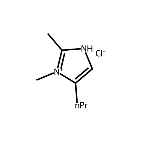 CCCc1c[nH]c(C)[n+]1C.[Cl-]